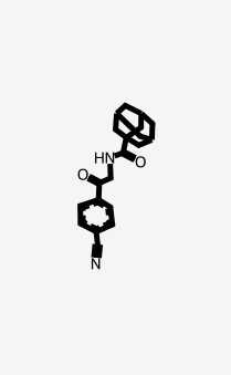 N#Cc1ccc(C(=O)CNC(=O)C23CC4CC(CC(C4)C2)C3)cc1